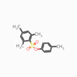 Cc1ccc(OS(=O)(=O)c2c(C)cc(C)cc2C)cc1